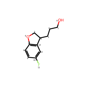 OCCCC1COc2ccc(F)cc21